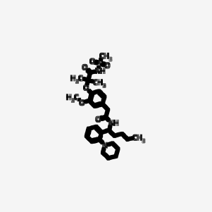 CCCCC(NC(=O)Cc1ccc(OC(C)(C)C(=O)NS(C)(=O)=O)c(OC)c1)c1ccccc1N1CCCCC1